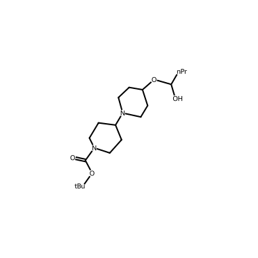 CCCC(O)OC1CCN(C2CCN(C(=O)OC(C)(C)C)CC2)CC1